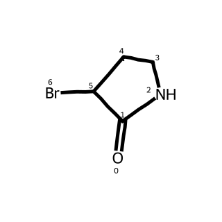 O=C1NC[CH]C1Br